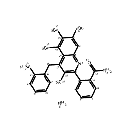 CCCCc1cc2nc(-c3ccccc3C(N)=O)c(C#N)c(Cc3cccc[c]3[SnH3])c2c(CCCC)c1CCCC.N